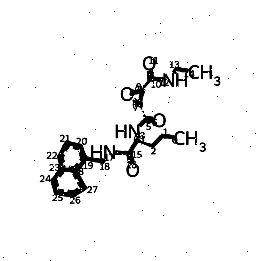 CCC[C@H](NC(=O)[C@@H]1O[C@H]1C(=O)NCC)C(=O)NCc1cccc2ccccc12